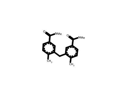 CNC(=O)c1ccc(C)c(Cc2cc(C(=O)NC)ccc2C)c1